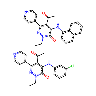 CCn1nc(-c2ccncc2)c(C(C)=O)c(Nc2cccc(Cl)c2)c1=O.CCn1nc(-c2ccncc2)c(C(C)=O)c(Nc2cccc3ccccc23)c1=O